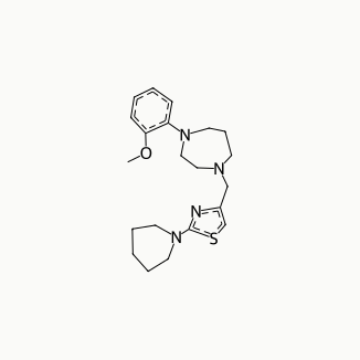 COc1ccccc1N1CCCN(Cc2csc(N3CCCCC3)n2)CC1